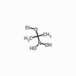 CCOC(C)(C)N(O)O